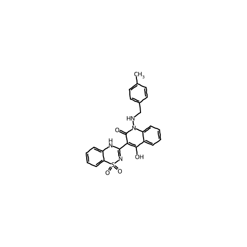 Cc1ccc(CNn2c(=O)c(C3=NS(=O)(=O)c4ccccc4N3)c(O)c3ccccc32)cc1